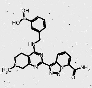 CN1CCc2c(nc(-c3nnn4c(C(N)=O)cccc34)nc2NCc2cccc(B(O)O)c2)C1